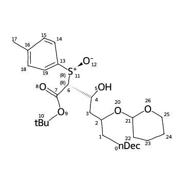 CCCCCCCCCCCC(CC(O)[C@H](C(=O)OC(C)(C)C)[S@+]([O-])c1ccc(C)cc1)OC1CCCCO1